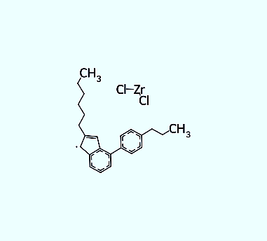 CCCCCCC1=Cc2c(cccc2-c2ccc(CCC)cc2)[CH]1.[Cl][Zr][Cl]